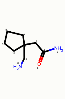 NCC1(CC(N)=O)CCCC1